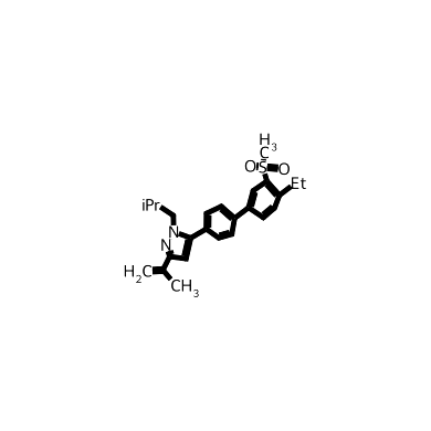 C=C(C)c1cc(-c2ccc(-c3ccc(CC)c(S(C)(=O)=O)c3)cc2)n(CC(C)C)n1